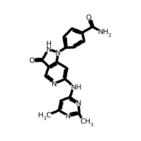 Cc1cc(Nc2cc3c(cn2)c(=O)[nH]n3-c2ccc(C(N)=O)cc2)nc(C)n1